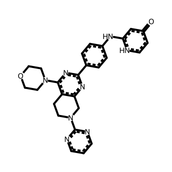 O=c1cc[nH]c(Nc2ccc(-c3nc4c(c(N5CCOCC5)n3)CCN(c3ncccn3)C4)cc2)c1